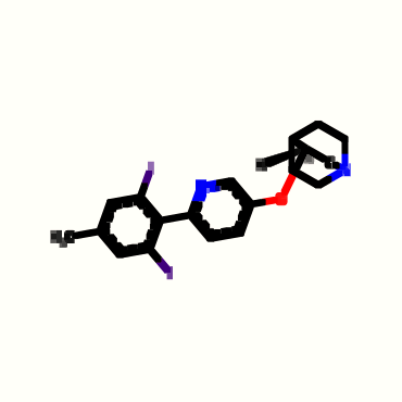 Cc1cc(I)c(-c2ccc(O[C@H]3CN4CCC3CC4)cn2)c(I)c1